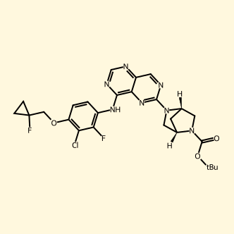 CC(C)(C)OC(=O)N1C[C@@H]2C[C@H]1CN2c1ncc2ncnc(Nc3ccc(OCC4(F)CC4)c(Cl)c3F)c2n1